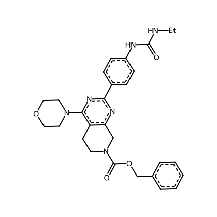 CCNC(=O)Nc1ccc(-c2nc3c(c(N4CCOCC4)n2)CCN(C(=O)OCc2ccccc2)C3)cc1